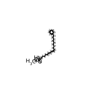 CCOC(=O)NCCCCCCCC/C=C\CCCCCCCCc1ccccc1